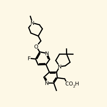 Cc1ncc(-c2cnc(OCC3CCN(C)CC3)c(F)c2)c(N2CCC(C)(C)CC2)c1CC(=O)O